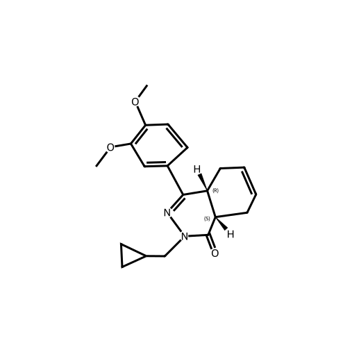 COc1ccc(C2=NN(CC3CC3)C(=O)[C@H]3CC=CC[C@@H]23)cc1OC